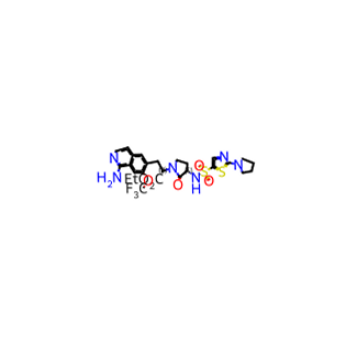 CCOC(=O)[C@@H](Cc1cc2ccnc(N)c2cc1OC(F)(F)F)N1CC[C@H](NS(=O)(=O)c2cnc(N3CCCC3)s2)C1=O